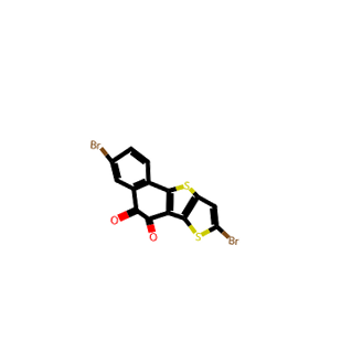 O=C1C(=O)c2c(sc3cc(Br)sc23)-c2ccc(Br)cc21